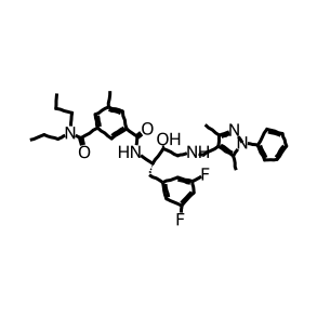 CCCN(CCC)C(=O)c1cc(C)cc(C(=O)N[C@@H](Cc2cc(F)cc(F)c2)[C@H](O)CNCc2c(C)nn(-c3ccccc3)c2C)c1